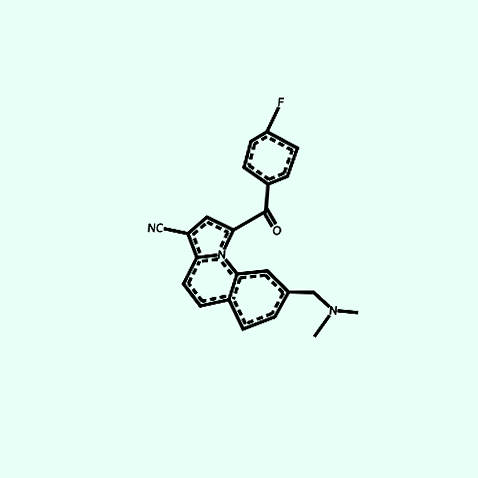 CN(C)Cc1ccc2ccc3c(C#N)cc(C(=O)c4ccc(F)cc4)n3c2c1